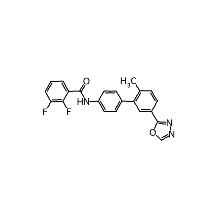 Cc1ccc(-c2nnco2)cc1-c1ccc(NC(=O)c2cccc(F)c2F)cc1